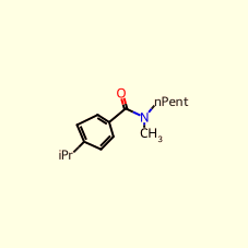 CCCCCN(C)C(=O)c1ccc(C(C)C)cc1